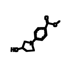 COC(=O)c1ccc(N2CCC(O)C2)cc1